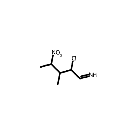 CC(C(Cl)C=N)C(C)[N+](=O)[O-]